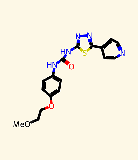 COCCOc1ccc(NC(=O)Nc2nnc(-c3ccncc3)s2)cc1